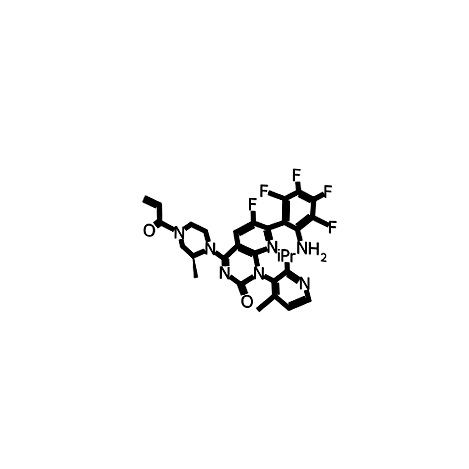 C=CC(=O)N1CCN(c2nc(=O)n(-c3c(C)ccnc3C(C)C)c3nc(-c4c(N)c(F)c(F)c(F)c4F)c(F)cc23)[C@@H](C)C1